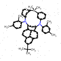 Cc1ccc(N2c3cccc(c3)[Si](C)(C)c3cccc(c3)N(c3ccc(C)cc3C)c3cc2c2ccc4cc(C(C)(C)C)cc5ccc3c2c45)c(C)c1